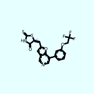 O=C1NC(=S)S/C1=C/c1cc2cncc(-c3cccc(OCC(F)(F)F)c3)c2o1